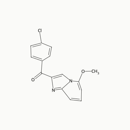 COc1cccc2nc(C(=O)c3ccc(Cl)cc3)cn12